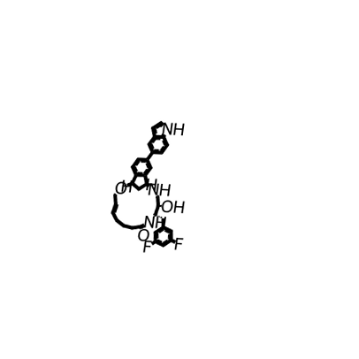 O=C1CCC/C=C/CO[C@@H]2C[C@H](NC[C@@H](O)[C@H](Cc3cc(F)cc(F)c3)N1)c1cc(-c3ccc4[nH]ccc4c3)ccc12